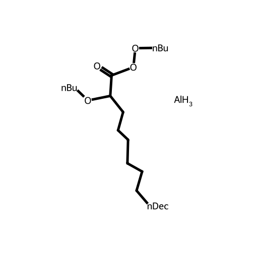 CCCCCCCCCCCCCCCCC(OCCCC)C(=O)OOCCCC.[AlH3]